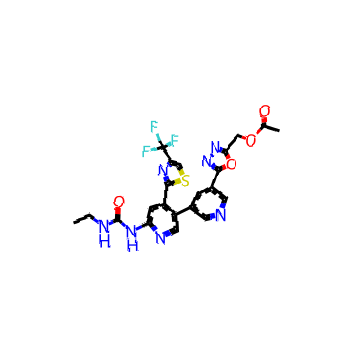 CCNC(=O)Nc1cc(-c2nc(C(F)(F)F)cs2)c(-c2cncc(-c3nnc(COC(C)=O)o3)c2)cn1